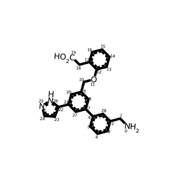 NCc1cccc(-c2cc(COc3ccccc3CC(=O)O)cc(-c3ccn[nH]3)c2)c1